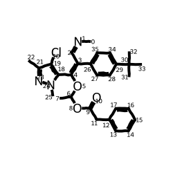 C/N=C\C(=C(\OC(C)OC(=O)Cc1ccccc1)c1c(Cl)c(C)nn1C)c1ccc(C(C)(C)C)cc1